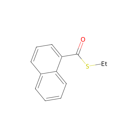 [CH2]CSC(=O)c1cccc2ccccc12